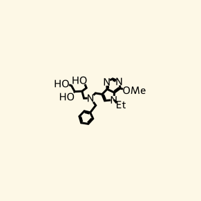 CCn1cc(CN(Cc2ccccc2)CC(CO)[C@@H](O)CO)c2ncnc(OC)c21